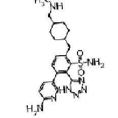 CNC[C@H]1CC[C@@H](Cc2ccc(-c3ccc(N)nc3)c(-c3nnn[nH]3)c2S(N)(=O)=O)CC1